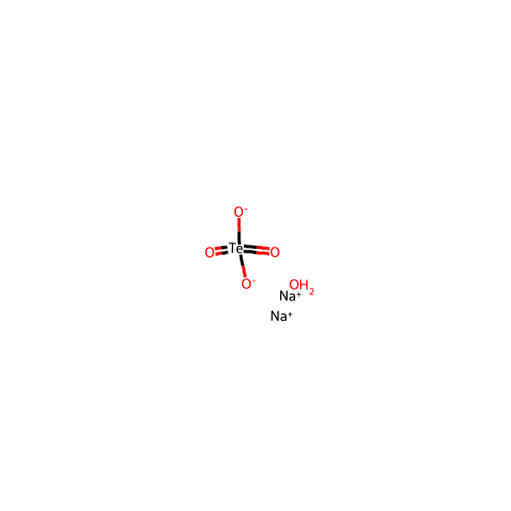 O.O=[Te](=O)([O-])[O-].[Na+].[Na+]